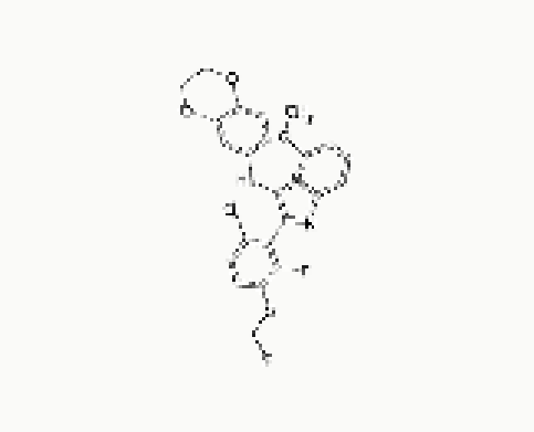 COc1cccc2nc(-c3c(Cl)ccc(OCF)c3F)c(Nc3ccc4c(c3)OCCO4)n12